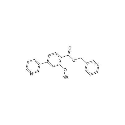 CCCCOc1cc(-c2cccnc2)ccc1C(=O)OCc1ccccc1